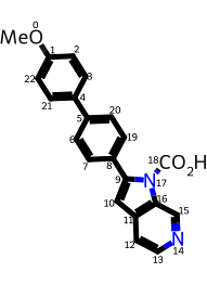 COc1ccc(-c2ccc(-c3cc4ccncc4n3C(=O)O)cc2)cc1